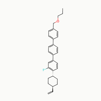 C=C[C@H]1CC[C@H](c2ccc(-c3ccc(-c4ccc(COCCC)cc4)cc3)cc2F)CC1